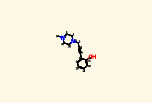 CN1CCN(CC#Cc2ccccc2O)CC1